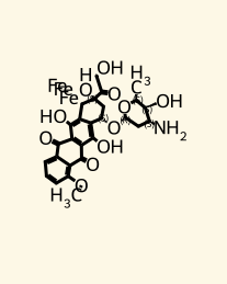 COc1cccc2c1C(=O)c1c(O)c3c(c(O)c1C2=O)C[C@@](O)(C(=O)CO)C[C@@H]3O[C@H]1C[C@H](N)[C@H](O)[C@H](C)O1.[Fe].[Fe].[Fe]